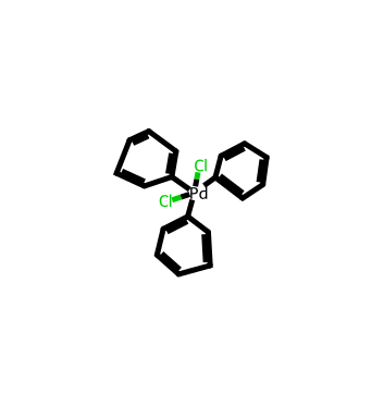 [Cl][Pd]([Cl])([c]1ccccc1)([c]1ccccc1)[c]1ccccc1